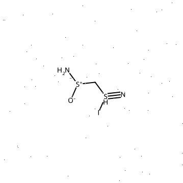 N#[SH](I)C[S+](N)[O-]